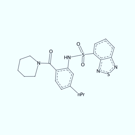 CCCc1ccc(C(=O)N2CCCCC2)c(NS(=O)(=O)c2cccc3nsnc23)c1